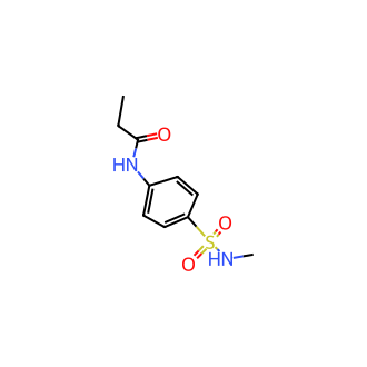 CCC(=O)Nc1ccc(S(=O)(=O)NC)cc1